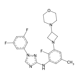 Cc1cc(Nc2ncn(-c3cc(F)cc(F)c3)n2)c(F)c(N2CC(N3CCOCC3)C2)c1